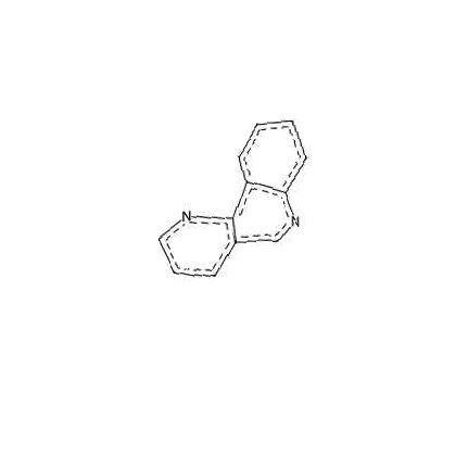 c1cnc2c(c1)cnc1ccccc12